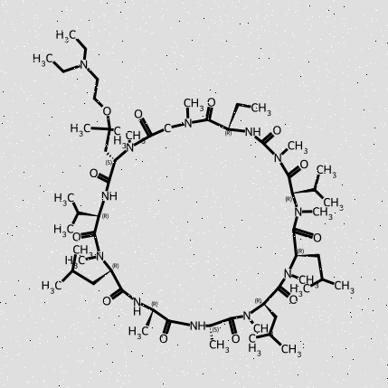 CC[C@H]1NC(=O)N(C)C(=O)[C@@H](C(C)C)N(C)C(=O)[C@@H](CC(C)C)N(C)C(=O)[C@@H](CC(C)C)N(C)C(=O)[C@H](C)NC(=O)[C@@H](C)NC(=O)[C@@H](CC(C)C)N(C)C(=O)[C@@H](C(C)C)NC(=O)[C@H](CC(C)(C)OCCN(CC)CC)N(C)C(=O)CN(C)C1=O